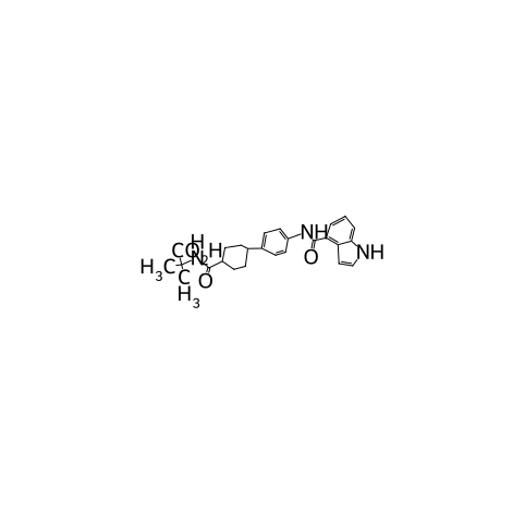 CC(C)(NC(=O)C1CCC(c2ccc(NC(=O)c3cccc4[nH]ccc34)cc2)CC1)C(=O)O